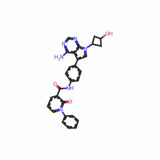 Nc1ncnc2c1c(-c1ccc(NC(=O)c3cccn(-c4ccccc4)c3=O)cc1)cn2C1CC(O)C1